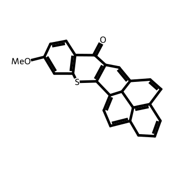 COc1ccc2c(=O)c3c(sc2c1)C1=CC=C2CC=CC4=C2C1C(=C3)C=C4